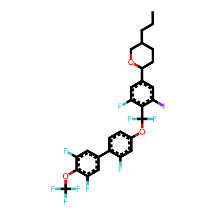 CCCC1CCC(c2cc(F)c(C(F)(F)Oc3ccc(-c4cc(F)c(OC(F)(F)F)c(F)c4)c(F)c3)c(I)c2)OC1